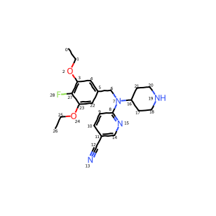 CCOc1cc(CN(c2ccc(C#N)cn2)C2CCNCC2)cc(OCC)c1F